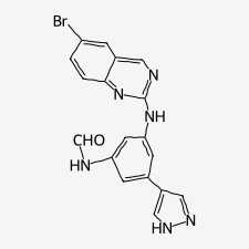 O=CNc1cc(Nc2ncc3cc(Br)ccc3n2)cc(-c2cn[nH]c2)c1